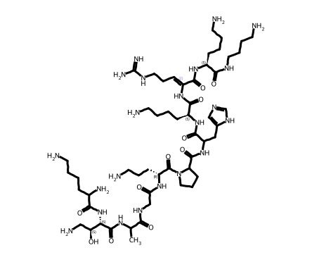 CC(NC(=O)[C@@H](NC(=O)C(N)CCCCN)[C@@H](O)CN)C(=O)NCC(=O)N[C@H](CCCN)C(=O)N1CCCC1C(=O)NC(Cc1cnc[nH]1)C(=O)N[C@@H](CCCCN)C(=O)N/C(=C\CCNC(=N)N)C(=O)N[C@@H](CCCCN)C(=O)NCCCCN